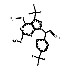 C=CC(c1ccc(C(F)(F)F)cc1)n1nc(C(F)(F)F)c2c(OC)nc(OC)nc21